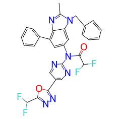 Cc1nc2c(-c3ccccc3)cc(N(C(=O)C(F)F)c3ncc(-c4nnc(C(F)F)o4)cn3)cc2n1Cc1ccccc1